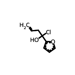 C=CCC(O)(Cl)c1ccco1